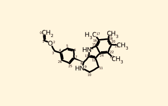 C=COCc1ccc([C@@H]2NCCc3c2[nH]c2c(C)c(C)c(C)c(C)c32)cc1